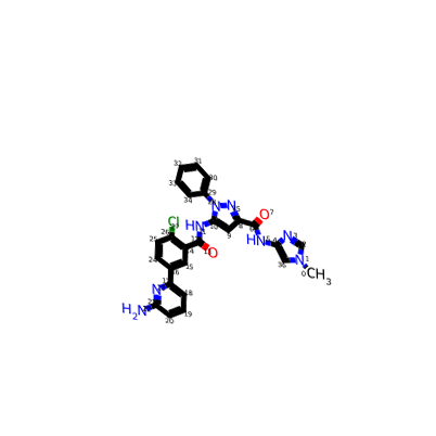 Cn1cnc(NC(=O)c2cc(NC(=O)c3cc(-c4cccc(N)n4)ccc3Cl)n(-c3ccccc3)n2)c1